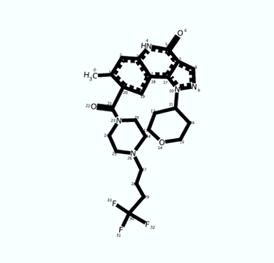 Cc1cc2[nH]c(=O)c3cnn(C4CCOCC4)c3c2cc1C(=O)N1CCN(CCCC(F)(F)F)CC1